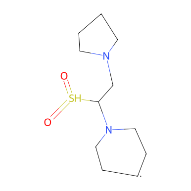 O=[SH](=O)C(CN1CCCC1)N1CC[CH]CC1